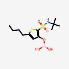 CCCCc1cc(OB(O)O)c(S(=O)(=O)NC(C)(C)C)s1